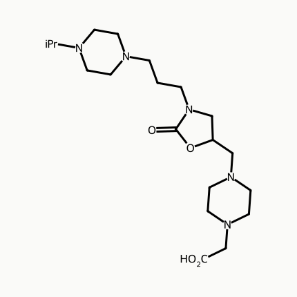 CC(C)N1CCN(CCCN2CC(CN3CCN(CC(=O)O)CC3)OC2=O)CC1